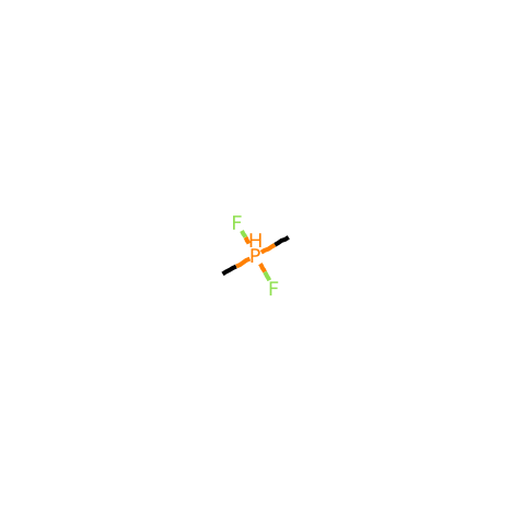 C[PH](C)(F)F